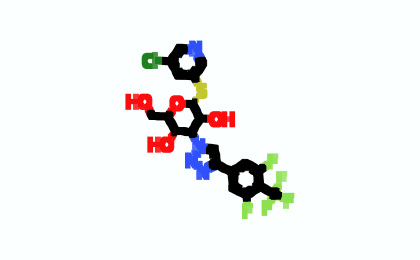 OCC1O[C@H](Sc2cncc(Cl)c2)C(O)C(n2cc(-c3cc(F)c(C(F)(F)F)c(F)c3)nn2)[C@H]1O